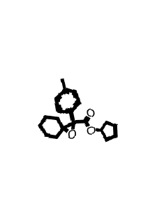 Cc1ccc(C2(C(=O)OC3CCCC3)OC23CCCCC3)cc1